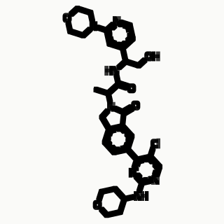 CC(C(=O)NC(CO)c1ccnc(N2CCOCC2)c1)N1Cc2ccc(-c3nc(NC4CCOCC4)ncc3Cl)cc2C1=O